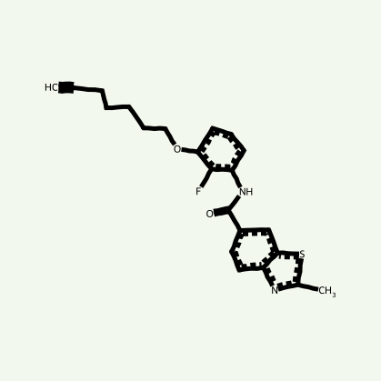 C#CCCCCCOc1cccc(NC(=O)c2ccc3nc(C)sc3c2)c1F